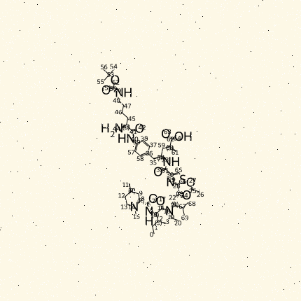 CC[C@H](C)[C@H](NC(=O)[C@H]1C[C@H](C)CCN1C)C(=O)N(CC)[C@H](C[C@@H](OC(C)=O)c1nc(C(=O)N[C@@H](Cc2ccc(NC(=O)[C@@H](N)CCCCNC(=O)OC(C)(C)C)cc2)C[C@H](C)C(=O)O)cs1)C(C)C